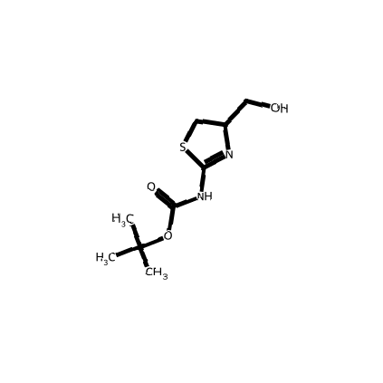 CC(C)(C)OC(=O)NC1=NC(CO)CS1